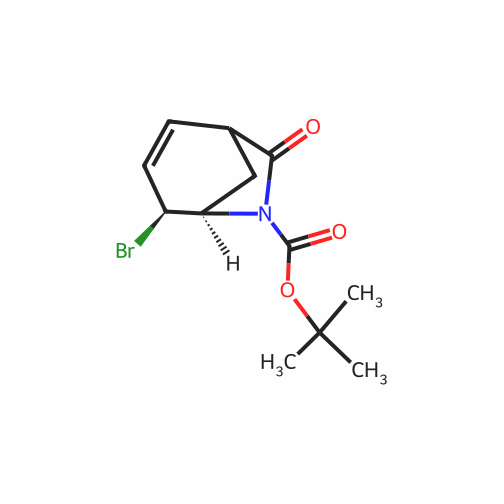 CC(C)(C)OC(=O)N1C(=O)C2C=C[C@H](Br)[C@H]1C2